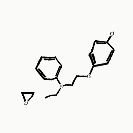 C1CO1.CCN(CCOc1ccc(Cl)cc1)c1ccccc1